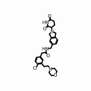 O=C(Cc1ccc(Cl)c(CCN2CCOCC2)c1)NCc1ccc2c(c1)CN(C1CCC(=O)NC1=O)C2